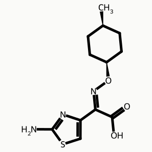 C[C@H]1CC[C@@H](ON=C(C(=O)O)c2csc(N)n2)CC1